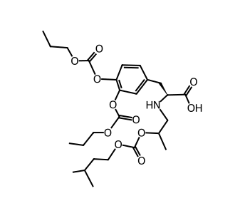 CCCOC(=O)Oc1ccc(C[C@H](NCC(C)OC(=O)OCCC(C)C)C(=O)O)cc1OC(=O)OCCC